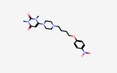 Cn1c(N2CCN(CCCCOc3ccc([N+](=O)[O-])cc3)CC2)cc(=O)n(C)c1=O